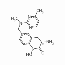 Cc1ccnc(N(C)Cc2ccc3c(c2)C[C@H](N)C(=O)N3O)n1